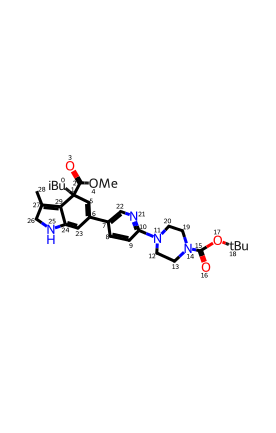 CCC(C)C1(C(=O)OC)C=C(c2ccc(N3CCN(C(=O)OC(C)(C)C)CC3)nc2)C=C2NCC(C)=C21